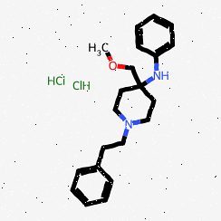 COCC1(Nc2ccccc2)CCN(CCc2ccccc2)CC1.Cl.Cl